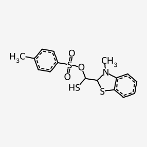 Cc1ccc(S(=O)(=O)OC(S)C2Sc3ccccc3N2C)cc1